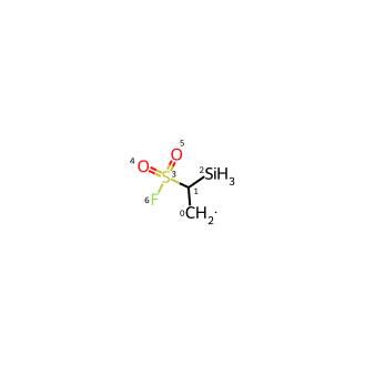 [CH2]C([SiH3])S(=O)(=O)F